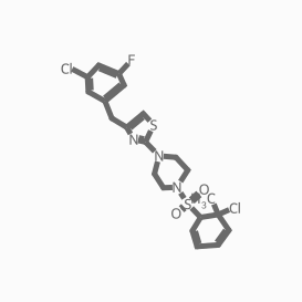 CC1(Cl)C=CC=CC1S(=O)(=O)N1CCN(c2nc(Cc3cc(F)cc(Cl)c3)cs2)CC1